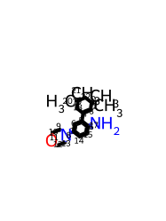 CC1(C)C=C(c2cc(N3CCOCC3)ccc2N)CC(C)(C)C1